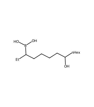 CCCCCCC(O)CCCCC(CC)B(O)O